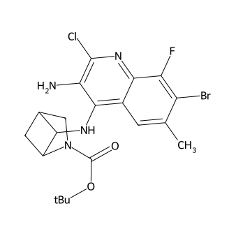 Cc1cc2c(NC3C4CC3N(C(=O)OC(C)(C)C)C4)c(N)c(Cl)nc2c(F)c1Br